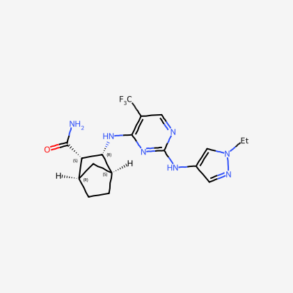 CCn1cc(Nc2ncc(C(F)(F)F)c(N[C@@H]3[C@H]4CC[C@H](C4)[C@@H]3C(N)=O)n2)cn1